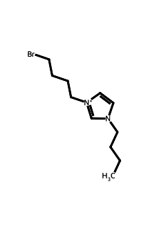 CCCCn1cc[n+](CCCCBr)c1